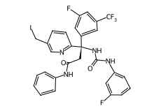 O=C(C[C@](NC(=O)Nc1cccc(F)c1)(c1cc(F)cc(C(F)(F)F)c1)c1ccc(CI)cn1)Nc1ccccc1